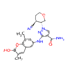 CC1=Cc2cc(Nc3nn([C@H]4COCC[C@@H]4C#N)cc3C(N)=O)cc(C)c2OB1O